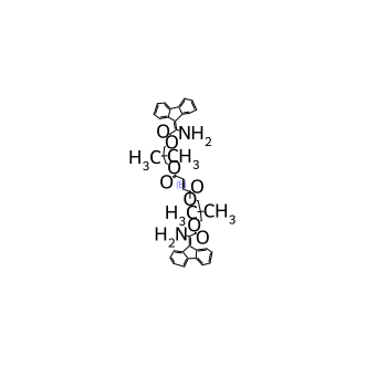 CC(C)(COC(=O)/C=C/C(=O)OCC(C)(C)COC(=O)C(N)=C1c2ccccc2-c2ccccc21)COC(=O)C(N)=C1c2ccccc2-c2ccccc21